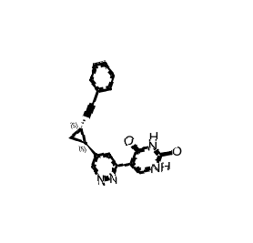 O=c1[nH]cc(-c2cc([C@H]3C[C@@H]3C#Cc3ccccc3)cnn2)c(=O)[nH]1